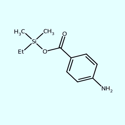 CC[Si](C)(C)OC(=O)c1ccc(N)cc1